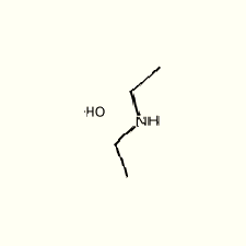 CCNCC.[OH]